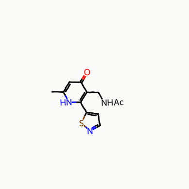 CC(=O)NCc1c(-c2ccns2)[nH]c(C)cc1=O